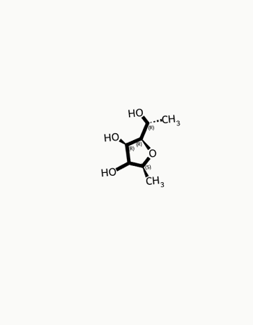 C[C@@H]1O[C@H]([C@@H](C)O)[C@H](O)C1O